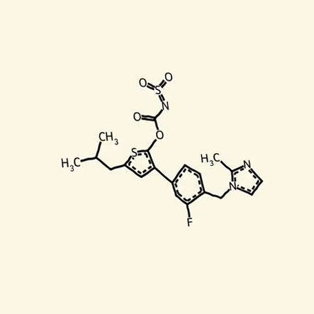 Cc1nccn1Cc1ccc(-c2cc(CC(C)C)sc2OC(=O)N=S(=O)=O)cc1F